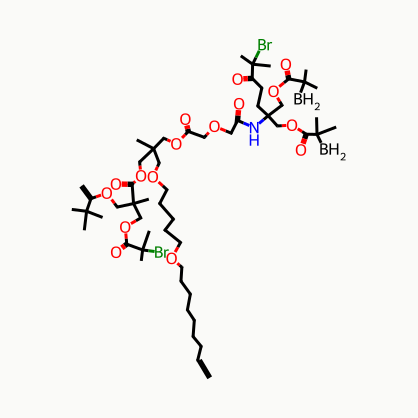 BC(C)(C)C(=O)OCC(CCC(=O)C(C)(C)Br)(COC(=O)C(B)(C)C)NC(=O)COCC(=O)OCC(C)(COCCCCCOCCCCCCCC=C)COC(=O)C(C)(COC(=C)C(C)(C)C)COC(=O)C(C)(C)Br